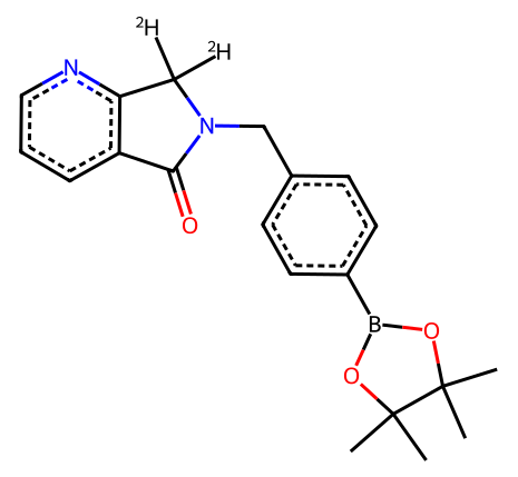 [2H]C1([2H])c2ncccc2C(=O)N1Cc1ccc(B2OC(C)(C)C(C)(C)O2)cc1